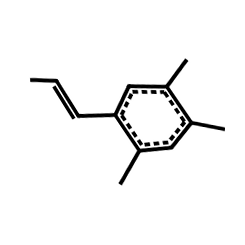 CC=Cc1cc(C)c(C)cc1C